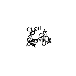 CCOP1(=O)CCN(Cc2ccc(O)c(Cl)c2)CC1(CCCCN(C(=O)OC(C)(C)C)C(=O)OC(C)(C)C)C(=O)OC(C)(C)C